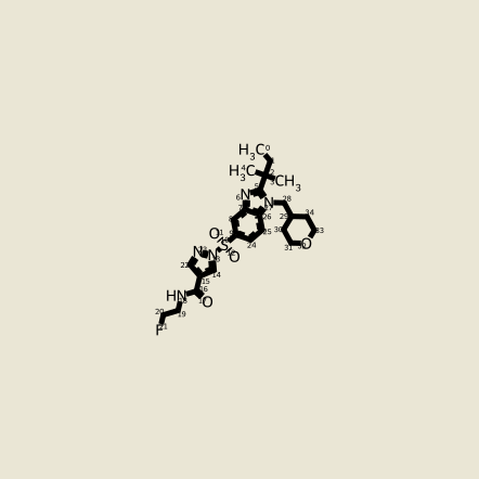 CCC(C)(C)c1nc2cc(S(=O)(=O)n3cc(C(=O)NCCF)cn3)ccc2n1CC1CCOCC1